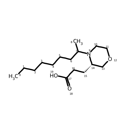 CCCCCCCC(C)N1CCOC[C@@H]1CCC(=O)O